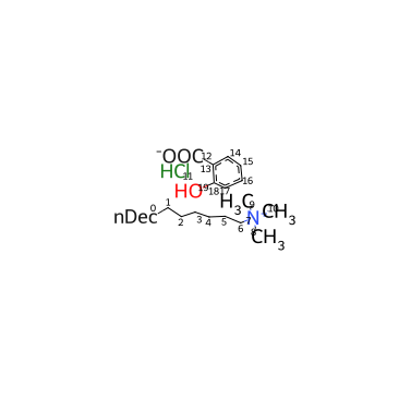 CCCCCCCCCCCCCCCC[N+](C)(C)C.Cl.O=C([O-])c1ccccc1O